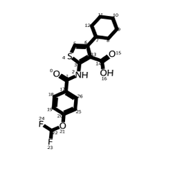 O=C(Nc1scc(C2CCCCC2)c1C(=O)O)c1ccc(OC(F)F)cc1